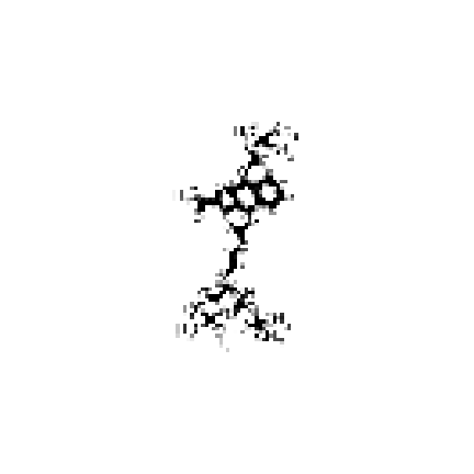 CC(=O)c1cc2c(OC(=O)OCCC[C@H](NC(=O)OC(C)(C)C)C(=O)OC(C)(C)C)c3ccccc3c(OC(=O)OC(C)(C)C)c2o1